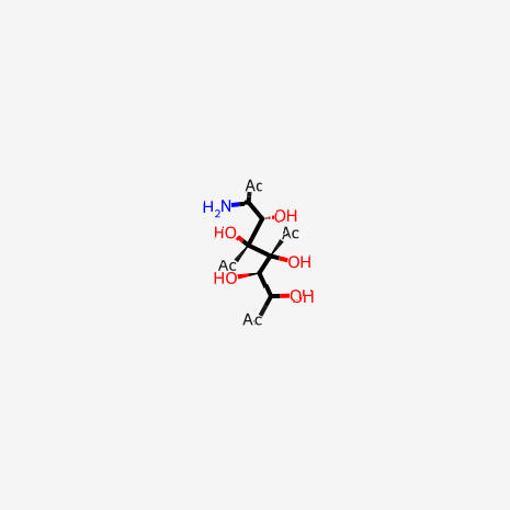 CC(=O)C(O)[C@@H](O)[C@](O)(C(C)=O)[C@@](O)(C(C)=O)[C@@H](O)C(N)C(C)=O